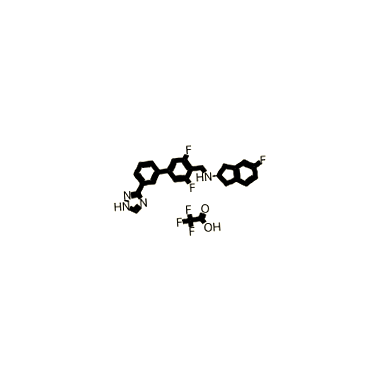 Fc1ccc2c(c1)C[C@@H](NCc1c(F)cc(-c3cccc(-c4nc[nH]n4)c3)cc1F)C2.O=C(O)C(F)(F)F